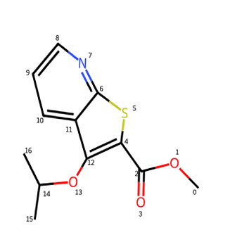 COC(=O)c1sc2ncccc2c1OC(C)C